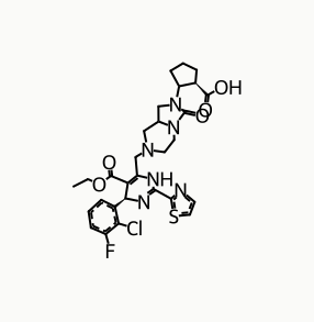 CCOC(=O)C1=C(CN2CCN3C(=O)N(C4CCC[C@H]4C(=O)O)CC3C2)NC(c2nccs2)=N[C@H]1c1cccc(F)c1Cl